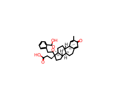 CC1=C[C@@]2(C)C(=CC1=O)CC[C@@H]1[C@@H]2CC[C@@]2(C)[C@H]1CC[C@]2(CCC(=O)O)C(=O)Cc1ccccc1C(=O)O